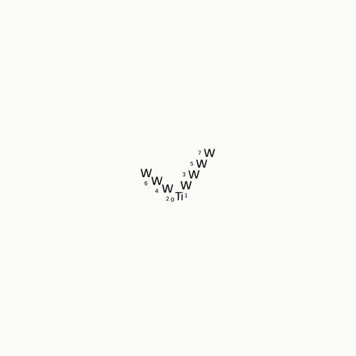 [Ti].[W].[W].[W].[W].[W].[W].[W]